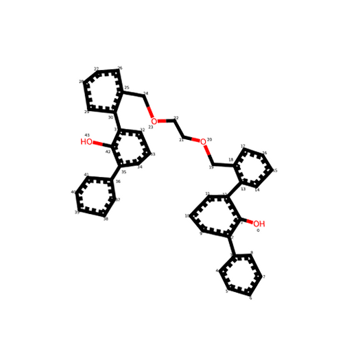 Oc1c(-c2ccccc2)cccc1-c1ccccc1COCCOCc1ccccc1-c1cccc(-c2ccccc2)c1O